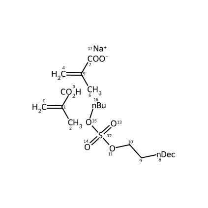 C=C(C)C(=O)O.C=C(C)C(=O)[O-].CCCCCCCCCCCCOS(=O)(=O)OCCCC.[Na+]